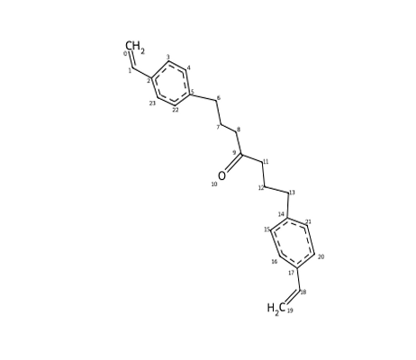 C=Cc1ccc(CCCC(=O)CCCc2ccc(C=C)cc2)cc1